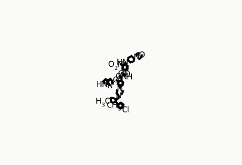 CC1(C)CCC(CN2CCN(c3ccc(C(=O)NS(=O)(=O)c4ccc(N[C@H]5CC[C@@H](N6CCOCC6)CC5)c([N+](=O)[O-])c4)c(Oc4cnc5[nH]ccc5c4)c3)CC2)=C(c2ccc(Cl)cc2)C1